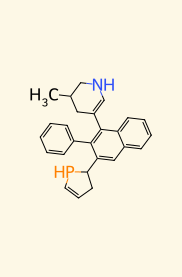 CC1CNC=C(c2c(-c3ccccc3)c(C3CC=CP3)cc3ccccc23)C1